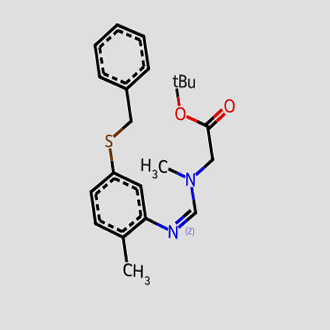 Cc1ccc(SCc2ccccc2)cc1/N=C\N(C)CC(=O)OC(C)(C)C